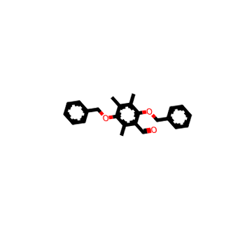 Cc1c(C)c(OCc2ccccc2)c(C=O)c(C)c1OCc1ccccc1